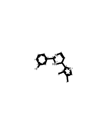 Cc1csc(C2C=CN=C(c3cccc(F)c3)N2)c1C